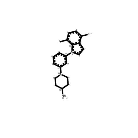 Cc1ccc(F)c2ccn(-c3cccc(N4CCC(N)CC4)c3)c12